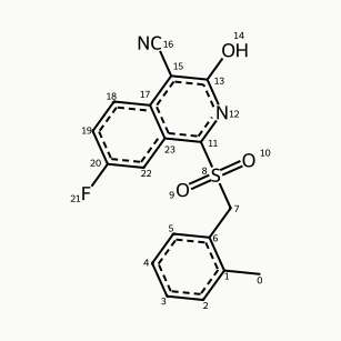 Cc1ccccc1CS(=O)(=O)c1nc(O)c(C#N)c2ccc(F)cc12